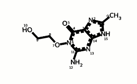 Cc1nc2c(=O)n(OCCO)c(N)nc2[nH]1